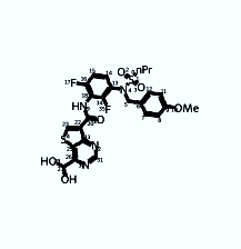 CCCS(=O)(=O)N(Cc1ccc(OC)cc1)c1ccc(F)c(NC(=O)c2csc3c(C(O)O)ncnc23)c1F